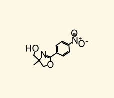 CC1(CO)COC(c2ccc([N+](=O)[O-])cc2)=N1